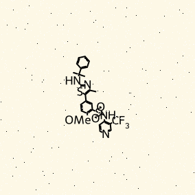 COc1ccc(-c2sc(NC(C)(C)c3ccccc3)nc2C)cc1S(=O)(=O)Nc1ccncc1C(F)(F)F